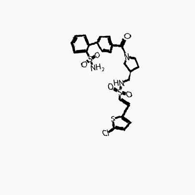 NS(=O)(=O)c1ccccc1-c1ccc(C(=O)N2CC[C@@H](CNS(=O)(=O)/C=C/c3ccc(Cl)s3)C2)cc1